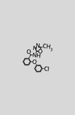 Cc1nnc(NC(=O)c2ccccc2Oc2cccc(Cl)c2)o1